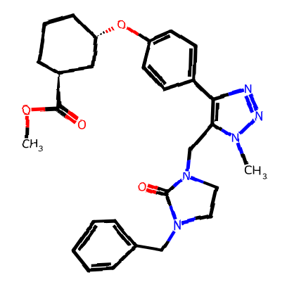 COC(=O)[C@H]1CCC[C@H](Oc2ccc(-c3nnn(C)c3CN3CCN(Cc4ccccc4)C3=O)cc2)C1